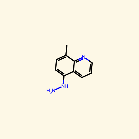 Cc1ccc(NN)c2cccnc12